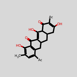 CC(=O)C1=C(O)CC2CC3Cc4c(C(C)=O)cc(C)c(O)c4C(=O)C3=C(O)C2C1=O